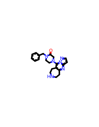 O=C1CN(c2c3c(nc4ccnn24)CCNCC3)CCN1Cc1ccccc1